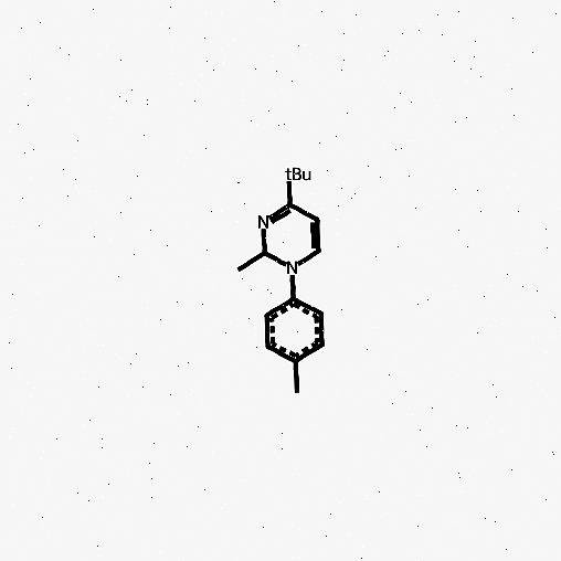 Cc1ccc(N2C=CC(C(C)(C)C)=NC2C)cc1